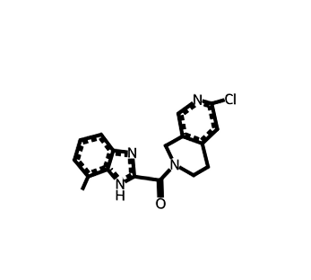 Cc1cccc2nc(C(=O)N3CCc4cc(Cl)ncc4C3)[nH]c12